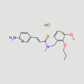 CCCOc1c(CN(C)C(=O)C=Cc2ccc(N)nc2)cccc1OC.Cl